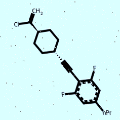 C=C(Cl)[C@H]1CC[C@H](C#Cc2c(F)cc(CCC)cc2F)CC1